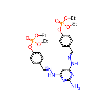 CCOP(=O)(OCC)Oc1ccc(C=NNc2cc(N/N=C/c3ccc(OP(=O)(OCC)OCC)cc3)nc(N)n2)cc1